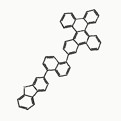 c1ccc2c(c1)sc1cc(-c3cccc4c(-c5ccc6c(c5)c5ccccc5c5c7ccccc7c7ccccc7c65)cccc34)ccc12